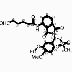 CCOc1cc([C@@H](CS(C)(=O)=O)N2C(=O)c3cccc(NC(=O)CCCCC=O)c3C2=O)ccc1OC